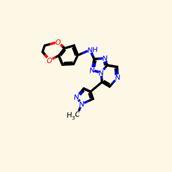 Cn1cc(-c2cncc3nc(Nc4ccc5c(c4)OCCO5)nn23)cn1